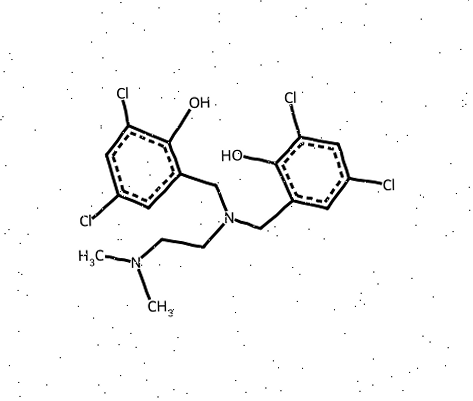 CN(C)CCN(Cc1cc(Cl)cc(Cl)c1O)Cc1cc(Cl)cc(Cl)c1O